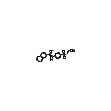 N#CC=CS(=O)(=O)c1ccc(N[S+]([O-])c2ccc3ccccc3c2)cc1